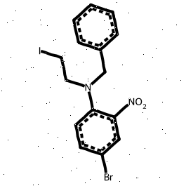 O=[N+]([O-])c1cc(Br)ccc1N(CCI)Cc1ccccc1